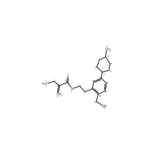 C=C(CC)C(=O)OCCc1cc(C2CCC(C)CC2)ccc1CO